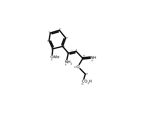 COc1ccccc1/C(N)=C/C(=N)OCC(=O)O